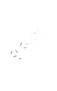 Cc1nc(C(O)N2CCC3(CC2)CO[C@@H](C)[C@H]3N)cnc1Sc1cccc(C(=O)N(C)C)c1Cl